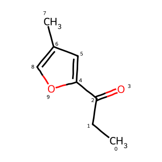 CCC(=O)c1cc(C)co1